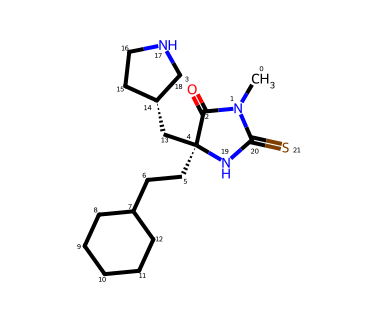 CN1C(=O)[C@](CCC2CCCCC2)(C[C@@H]2CCNC2)NC1=S